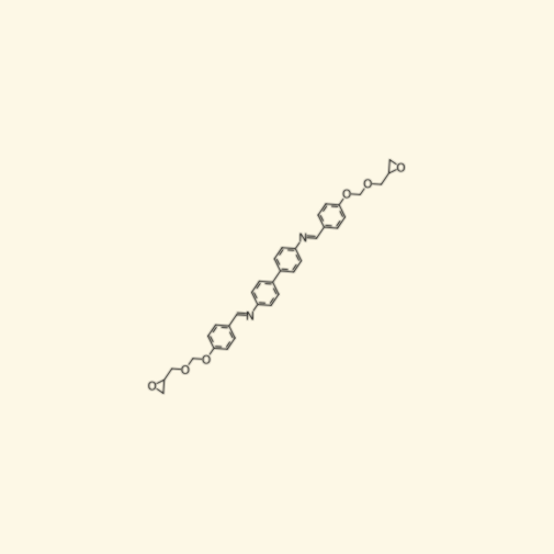 C(=Nc1ccc(-c2ccc(N=Cc3ccc(OCOCC4CO4)cc3)cc2)cc1)c1ccc(OCOCC2CO2)cc1